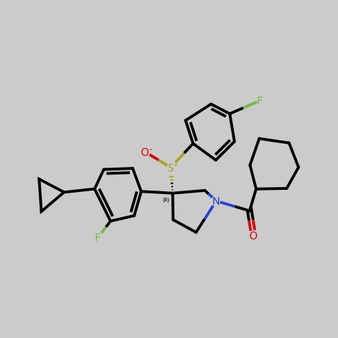 O=C(C1CCCCC1)N1CC[C@](c2ccc(C3CC3)c(F)c2)([S+]([O-])c2ccc(F)cc2)C1